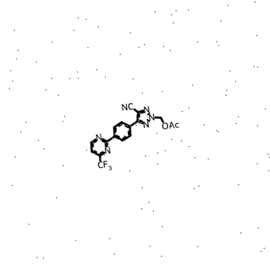 CC(=O)OCn1nc(C#N)c(-c2ccc(-c3nccc(C(F)(F)F)n3)cc2)n1